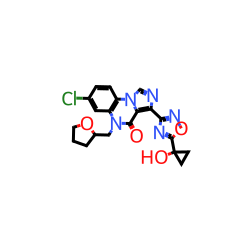 O=c1c2c(-c3noc(C4(O)CC4)n3)ncn2c2ccc(Cl)cc2n1CC1CCCO1